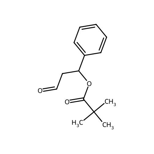 CC(C)(C)C(=O)OC(CC=O)c1ccccc1